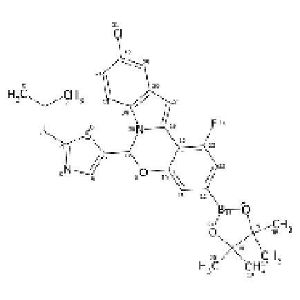 CC(C)Cc1ncc(C2Oc3cc(B4OC(C)(C)C(C)(C)O4)cc(F)c3-c3cc4cc(Cl)ccc4n32)s1